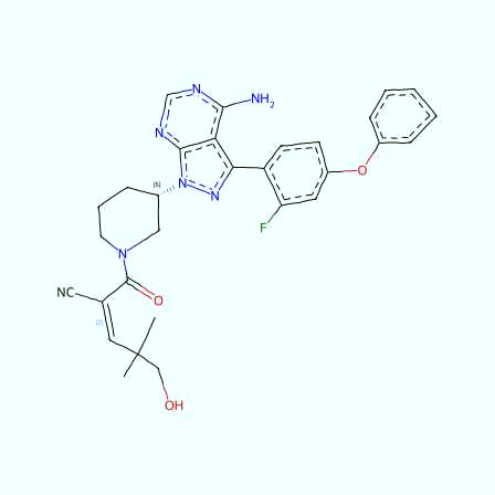 CC(C)(/C=C(/C#N)C(=O)N1CCC[C@H](n2nc(-c3ccc(Oc4ccccc4)cc3F)c3c(N)ncnc32)C1)CO